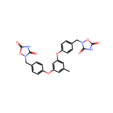 Cc1cc(Oc2ccc(Cn3oc(=O)[nH]c3=O)cc2)cc(Oc2ccc(Cn3oc(=O)[nH]c3=O)cc2)c1